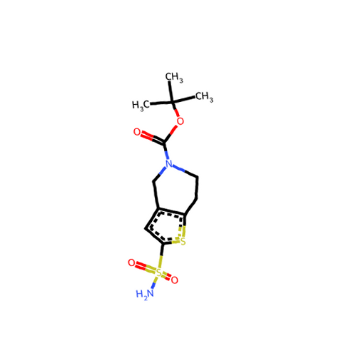 CC(C)(C)OC(=O)N1CCc2sc(S(N)(=O)=O)cc2C1